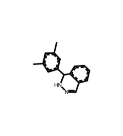 Cc1cc(C)cc(C2NN=Cc3ccccc32)c1